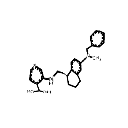 CN(Cc1ccccc1)c1ccc2c(c1)CCC[C@H]2CNc1cnccc1C(O)O